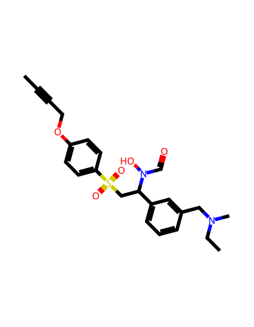 CC#CCOc1ccc(S(=O)(=O)CC(c2cccc(CN(C)CC)c2)N(O)C=O)cc1